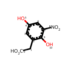 O=C(O)Cc1cc(O)cc([N+](=O)[O-])c1O